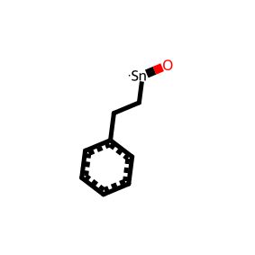 [O]=[Sn][CH2]Cc1ccccc1